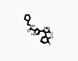 O=C1N=NC(c2c[nH]c(C(=O)NCC3CCCC3)c2)=C1c1cccc(F)c1Cl